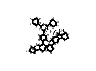 CC1(C)c2ccccc2-c2cc3c4ccccc4n(-c4cc(-c5nc(-c6ccccc6)nc(-c6ccccc6)n5)ccc4-c4cccc5c4sc4ccccc45)c3cc21